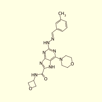 Cc1cccc(/C=N/Nc2nc(N3CCOCC3)c3[nH]c(C(=O)NC4COC4)nc3n2)c1